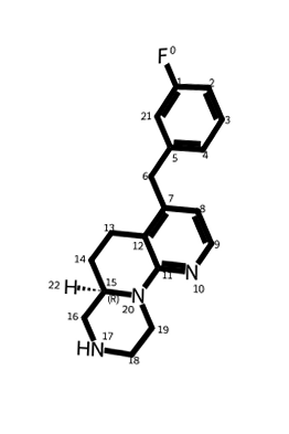 Fc1cccc(Cc2ccnc3c2CC[C@@H]2CNCCN32)c1